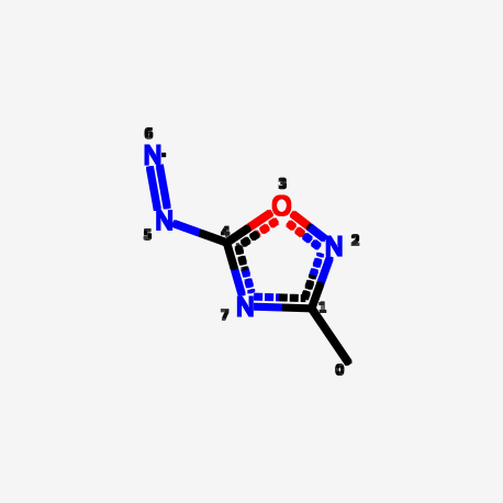 Cc1noc(N=[N])n1